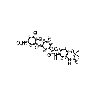 CC1(C)Oc2ccc(NS(=O)(=O)c3cc(Cl)c(Oc4ccc([N+](=O)[O-])cc4Cl)c(Cl)c3)cc2NC1=O